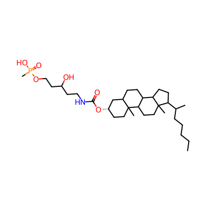 CCCCCC(C)C1CCC2C3CCC4C[C@@H](OC(=O)NCCC(O)CCOP(C)(=O)O)CCC4(C)C3CCC12C